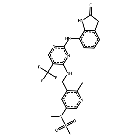 Cc1ncc(N(C)S(C)(=O)=O)cc1CNc1nc(Nc2cccc3c2NC(=O)C3)ncc1C(F)(F)F